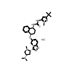 CN(C)[C@H]1C[C@@H](c2nnc3ccc(O[C@@H]4CC[C@H](NC(=O)Nc5cc(C(C)(C)C)nn5C)c5ccccc54)cn23)N(C)C1.Cl